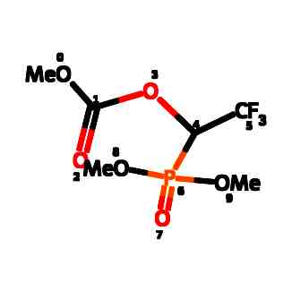 COC(=O)OC(C(F)(F)F)P(=O)(OC)OC